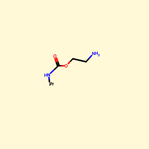 CC(C)NC(=O)OCCN